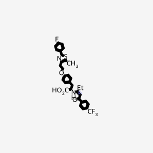 CC/C(=C/C(=O)c1ccc(C(F)(F)F)cc1)NC(Cc1ccc(OCCc2nc(-c3ccc(F)cc3)sc2C)cc1)C(=O)O